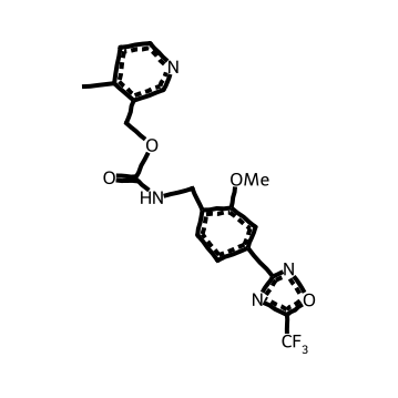 COc1cc(-c2noc(C(F)(F)F)n2)ccc1CNC(=O)OCc1cnccc1C